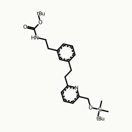 CC(C)(C)OC(=O)NCCc1cccc(CCc2cccc(CO[Si](C)(C)C(C)(C)C)n2)c1